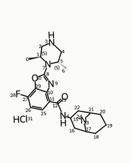 C[C@H]1CNC[C@H](C)N1c1nc2c(C(=O)NC3CC4CCCC(C3)N4C)ccc(F)c2o1.Cl